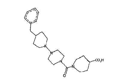 O=C(O)C1CCN(C(=O)N2CCN(N3CCC(Cc4ccccc4)CC3)CC2)CC1